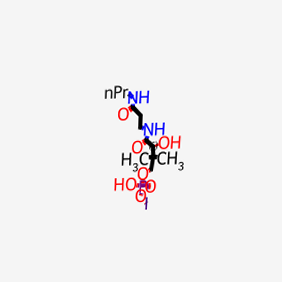 CCCNC(=O)CCNC(=O)[C@@H](O)C(C)(C)COP(=O)(O)OI